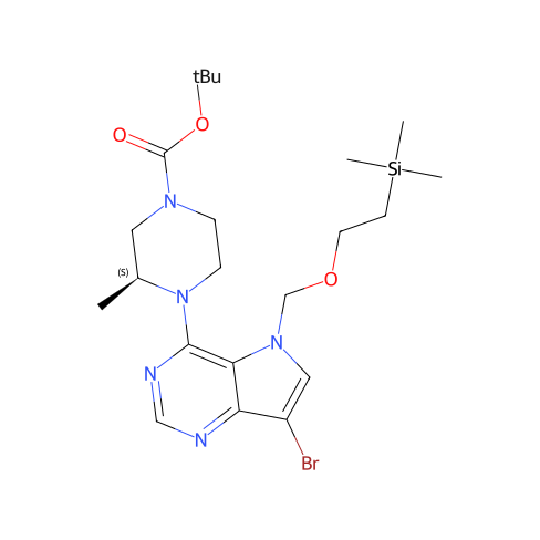 C[C@H]1CN(C(=O)OC(C)(C)C)CCN1c1ncnc2c(Br)cn(COCC[Si](C)(C)C)c12